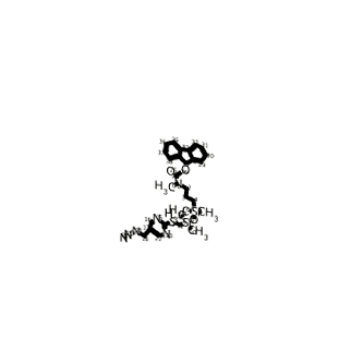 CN(CCC[Si](C)(C)O[Si](C)(C)CSc1ncc(CN=[N+]=[N-])cn1)C(=O)OC1c2ccccc2-c2ccccc21